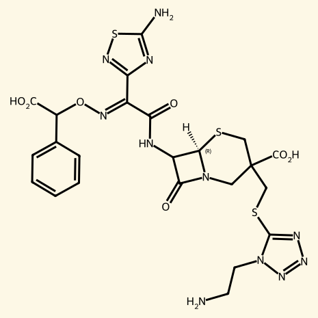 NCCn1nnnc1SCC1(C(=O)O)CS[C@@H]2C(NC(=O)C(=NOC(C(=O)O)c3ccccc3)c3nsc(N)n3)C(=O)N2C1